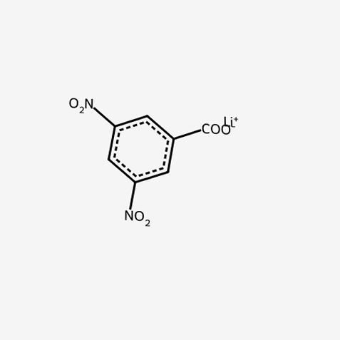 O=C([O-])c1cc([N+](=O)[O-])cc([N+](=O)[O-])c1.[Li+]